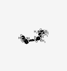 CCC1C(=O)N(C)c2cnc(Nc3ccc(C(=O)NCCOCCNc4cccc5c4C(=O)N(C4CCC(=O)NC4=O)C5=O)cc3OC)nc2N1C(C)C